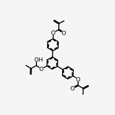 C=C(C)C(=O)Oc1ccc(-c2cc(OC(O)C(=C)C)cc(-c3ccc(OC(=O)C(=C)C)cc3)c2)cc1